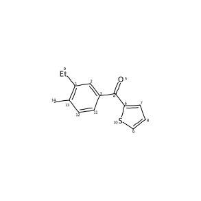 CCc1cc(C(=O)c2cccs2)ccc1C